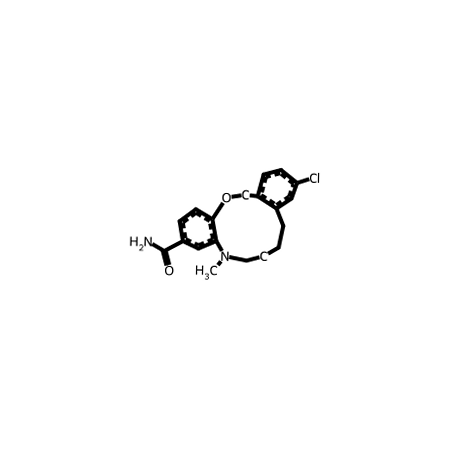 CN1CCCCc2cc(Cl)ccc2COc2ccc(C(N)=O)cc21